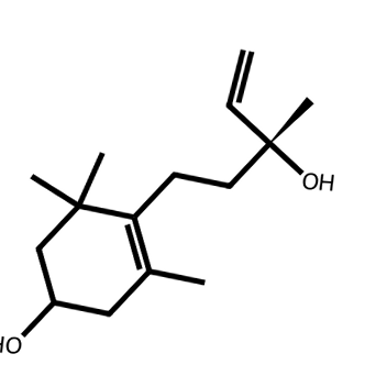 C=C[C@](C)(O)CCC1=C(C)CC(O)CC1(C)C